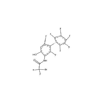 O=C(Nc1c(O)cc(F)c(-c2c(F)c(F)c(F)c(F)c2F)c1F)C(F)(F)Br